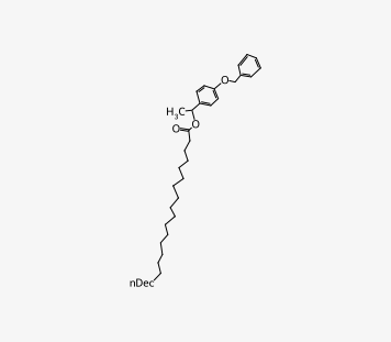 CCCCCCCCCCCCCCCCCCCCCCCCCC(=O)OC(C)c1ccc(OCc2ccccc2)cc1